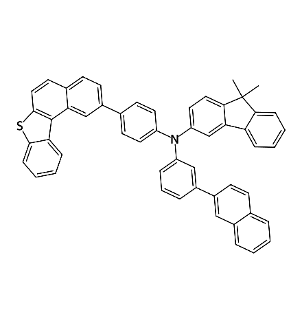 CC1(C)c2ccccc2-c2cc(N(c3ccc(-c4ccc5ccc6sc7ccccc7c6c5c4)cc3)c3cccc(-c4ccc5ccccc5c4)c3)ccc21